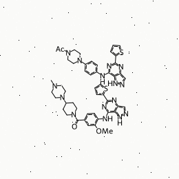 CC(=O)N1CCN(c2ccc(Nc3nc(-c4cccs4)nc4cn[nH]c34)cc2)CC1.COc1cc(C(=O)N2CCC(N3CCN(C)CC3)CC2)ccc1Nc1nc(-c2cccs2)nc2cn[nH]c12